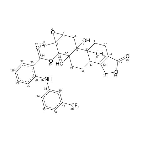 CC(C)C12OC1CC1(O)C3(C)CCC4=C(COC4=O)C3CCC1(O)C2OC(=O)c1ccccc1Nc1cccc(C(F)(F)F)c1